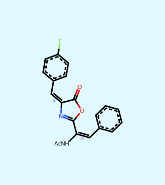 CC(=O)N/C(=C/c1ccccc1)C1=N/C(=C/c2ccc(F)cc2)C(=O)O1